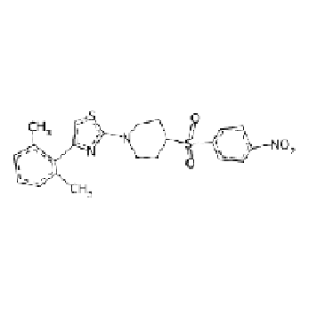 Cc1cccc(C)c1-c1csc(N2CCC(S(=O)(=O)c3ccc([N+](=O)[O-])cc3)CC2)n1